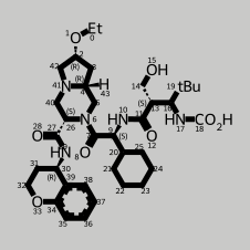 CCO[C@@H]1C[C@@H]2CN(C(=O)[C@@H](NC(=O)[C@H](CO)C(NC(=O)O)C(C)(C)C)C3CCCCC3)[C@H](C(=O)N[C@@H]3CCOc4ccccc43)CN2C1